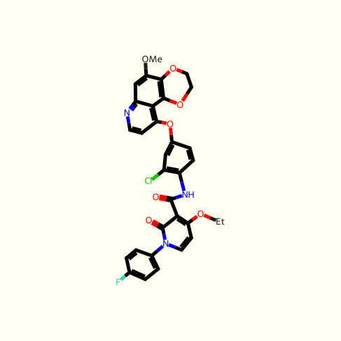 CCOc1ccn(-c2ccc(F)cc2)c(=O)c1C(=O)Nc1ccc(Oc2ccnc3cc(OC)c4c(c23)OCCO4)cc1Cl